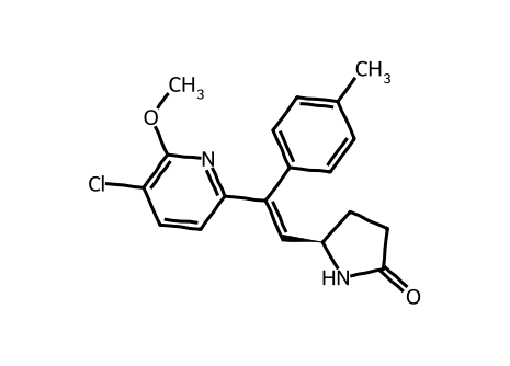 COc1nc(C(=C[C@H]2CCC(=O)N2)c2ccc(C)cc2)ccc1Cl